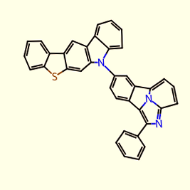 c1ccc(-c2nc3cccc4c5cc(-n6c7ccccc7c7cc8c(cc76)sc6ccccc68)ccc5c2n34)cc1